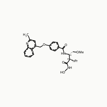 CCC[C@@H](C(=O)NO)[C@@H](COC)NC(=O)c1ccc(OCc2cc(C)nc3ccccc23)cc1